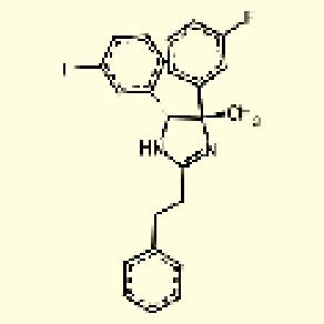 C[C@@]1(c2cccc(F)c2)N=C(CCc2ccccc2)N[C@@H]1c1cccc(F)c1